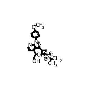 C=C(C)S(=O)(=O)N1CC(c2nn(-c3ccc(OC(F)(F)F)cc3)c3nccc(C(O)CO)c23)C1